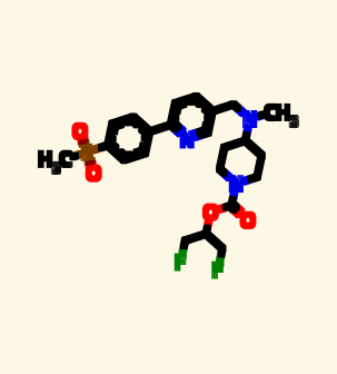 CN(Cc1ccc(-c2ccc(S(C)(=O)=O)cc2)nc1)C1CCN(C(=O)OC(CF)CF)CC1